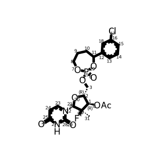 CC(=O)O[C@@H]1[C@@H](COP2(=O)OCCCC(c3cccc(Cl)c3)O2)O[C@@H](n2ccc(=O)[nH]c2=O)[C@]1(C)F